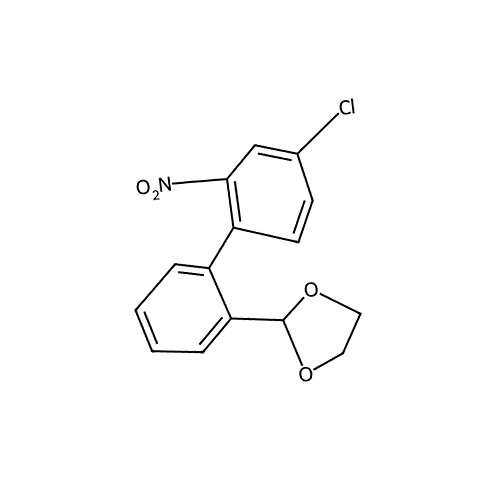 O=[N+]([O-])c1cc(Cl)ccc1-c1ccccc1C1OCCO1